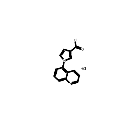 Cl.O=C(Cl)c1ccn(-c2cccc3ncccc23)c1